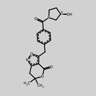 CC1(C)Cc2noc(Cc3ccc(C(=O)N4CC[C@@H](O)C4)cc3)c2C(=O)O1